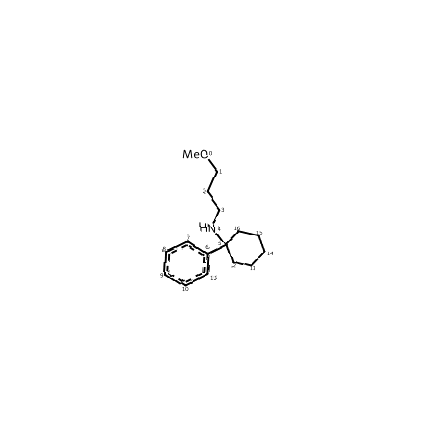 COCCCNC1(c2ccccc2)CCCCC1